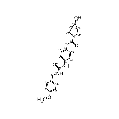 COc1ccc(CNC(=O)Nc2ccc(CC(=O)N3CC4C(O)C4C3)cc2)cc1